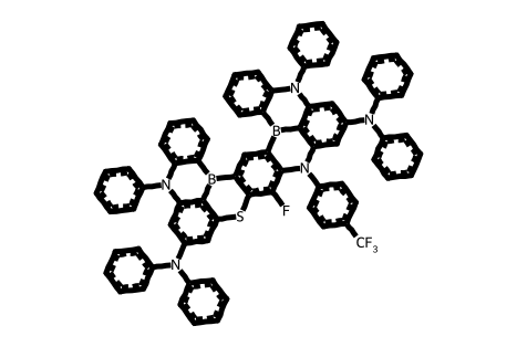 Fc1c2c(cc3c1N(c1ccc(C(F)(F)F)cc1)c1cc(N(c4ccccc4)c4ccccc4)cc4c1B3c1ccccc1N4c1ccccc1)B1c3ccccc3N(c3ccccc3)c3cc(N(c4ccccc4)c4ccccc4)cc(c31)S2